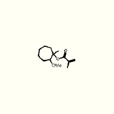 C=C(C)C(=O)OC1(C)CCCCCC1OC